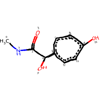 CNC(=O)C(O)c1ccc(O)cc1